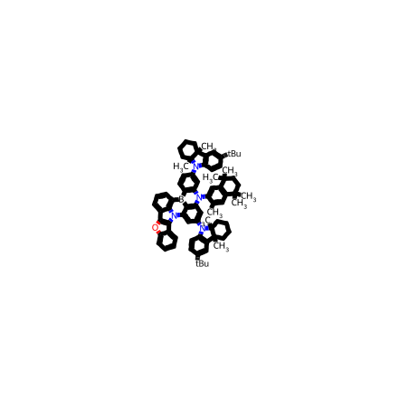 Cc1cc2c(cc1N1c3cc(N4c5ccc(C(C)(C)C)cc5C5(C)CCCCC45C)ccc3B3c4c1cc(N1c5ccc(C(C)(C)C)cc5C5(C)CCCCC15C)cc4-n1c4c3cccc4c3oc4ccccc4c31)C(C)(C)CCC2(C)C